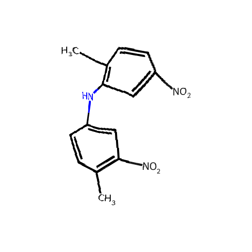 Cc1ccc([N+](=O)[O-])cc1Nc1ccc(C)c([N+](=O)[O-])c1